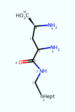 CCCCCCCCNC(=O)C(N)C[C@H](N)C(=O)O